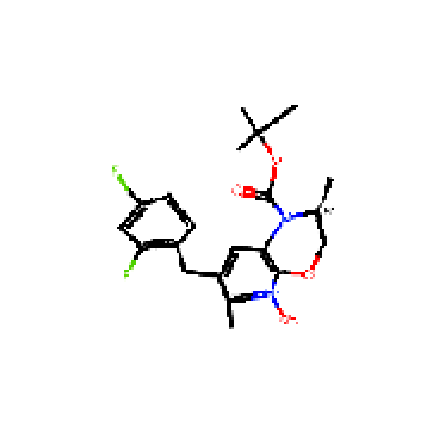 Cc1c(Cc2ccc(F)cc2F)cc2c([n+]1O)OC[C@H](C)N2C(=O)OC(C)(C)C